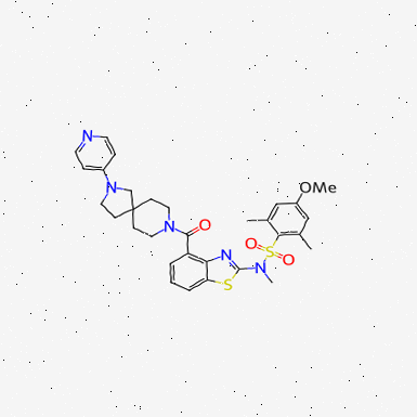 COc1cc(C)c(S(=O)(=O)N(C)c2nc3c(C(=O)N4CCC5(CC4)CCN(c4ccncc4)C5)cccc3s2)c(C)c1